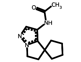 CC(=O)Nc1cnn2c1C1(CCCC1)CC2